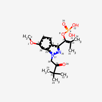 COc1ccc2c(C(OP(=O)(O)O)=C(C)C)nn(CC(=O)C(C)(C)C)c2c1